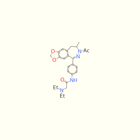 CCN(CC)CC(=O)Nc1ccc(C2=NN(C(C)=O)C(C)Cc3cc4c(cc32)OCO4)cc1